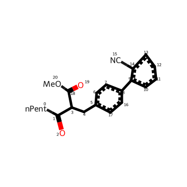 CCCCCC(=O)C(Cc1ccc(-c2ccccc2C#N)cc1)C(=O)OC